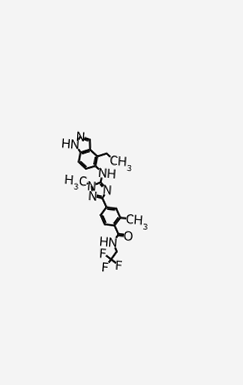 CCc1c(Nc2nc(-c3ccc(C(=O)NCC(F)(F)F)c(C)c3)nn2C)ccc2[nH]ncc12